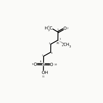 CC(=O)[C@H](C)CCCS(=O)(=O)O